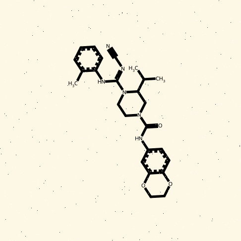 Cc1ccccc1N/C(=N\C#N)N1CCN(C(=O)Nc2ccc3c(c2)OCCO3)CC1C(C)C